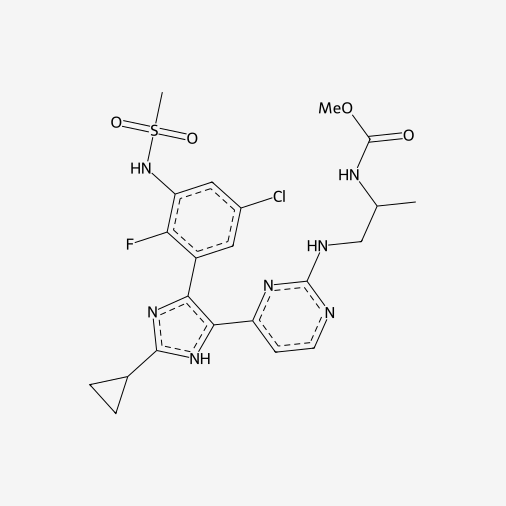 COC(=O)NC(C)CNc1nccc(-c2[nH]c(C3CC3)nc2-c2cc(Cl)cc(NS(C)(=O)=O)c2F)n1